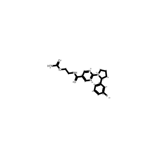 NC(=O)OCCNC(=O)c1cnc(N2CCCC2c2cccc(F)c2)nc1